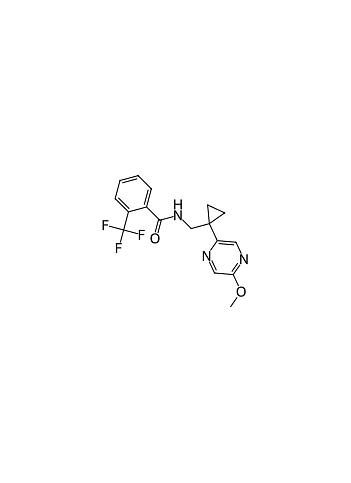 COc1cnc(C2(CNC(=O)c3ccccc3C(F)(F)F)CC2)cn1